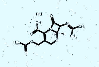 CC(=O)OCC1=C(C(=O)O)N2C(=O)C(N=C(C)C)[C@H]2SC1.Cl